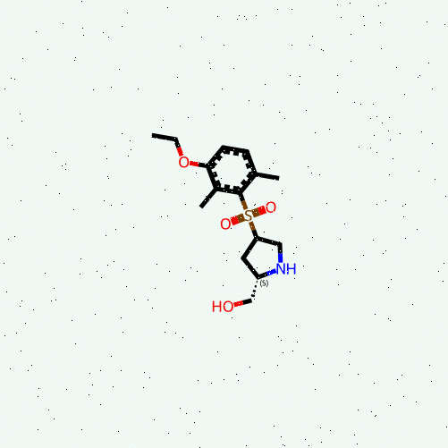 CCOc1ccc(C)c(S(=O)(=O)C2CN[C@H](CO)C2)c1C